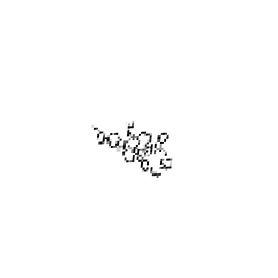 C=CCOC(=O)N1CCC[C@H]2C(c3ccc(OCC)cc3)Nc3ccc(C(=O)NCc4cccs4)cc3[C@H]21